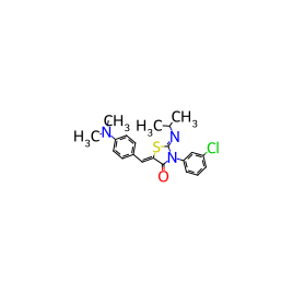 CC(C)/N=C1\S/C(=C\c2ccc(N(C)C)cc2)C(=O)N1c1cccc(Cl)c1